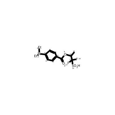 CCN(CC)c1ccc(C(=O)OC(C)C(F)(F)S(=O)(=O)O)cc1